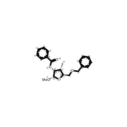 CO[C@H]1O[C@H](COCc2ccccc2)[C@@H](F)[C@H]1OC(=O)c1ccccc1